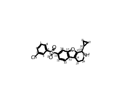 O=S(=O)(c1cccc(Cl)c1)c1ccc2c3c(oc2c1)C(C1CC1)NCC3